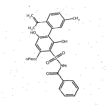 C=C(C)c1ccc(C)cc1-c1c(O)cc(CCCCC)c(S(=O)(=O)NC(=O)c2ccccc2)c1O